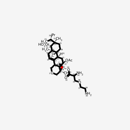 CC(=O)O[C@@H]1C[C@@]23COC[C@@](C)([C@@H]2CC[C@H]2C3=CC[C@@]3(C)[C@H](C(=O)O)[C@@](C)([C@H](C)C(C)C)CC[C@]23C)[C@H]1OC(=O)C(N)COCCN